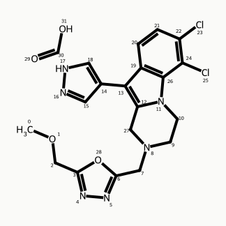 COCc1nnc(CN2CCn3c(c(-c4cn[nH]c4)c4ccc(Cl)c(Cl)c43)C2)o1.O=CO